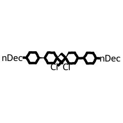 CCCCCCCCCCC1CCC(C2CC[C@]3(CC2)C[C@@]2(CC[C@H](C4CCC(CCCCCCCCCC)CC4)CC2)C3(Cl)Cl)CC1